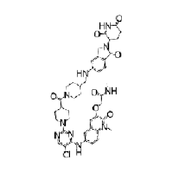 CNC(=O)COc1cc2cc(Nc3nc(N4CCC(C(=O)N5CCC(CNc6ccc7c(c6)CN(C6CCC(=O)NC6=O)C7=O)CC5)CC4)ncc3Cl)ccc2n(C)c1=O